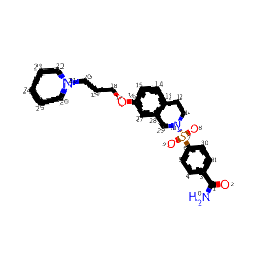 NC(=O)c1ccc(S(=O)(=O)N2CCc3ccc(OCCCN4CCCCC4)cc3C2)cc1